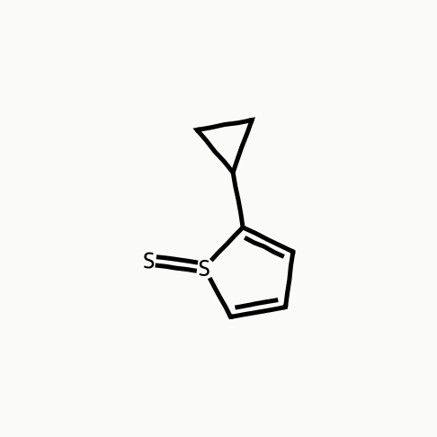 S=S1C=CC=C1C1CC1